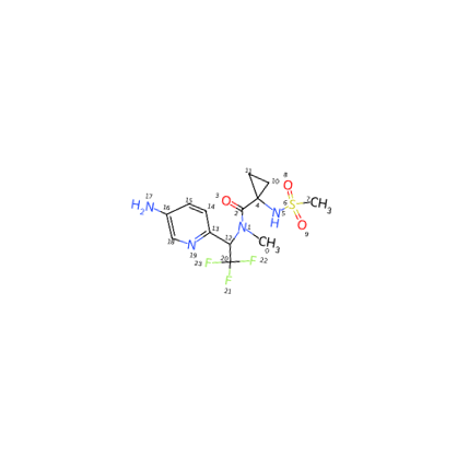 CN(C(=O)C1(NS(C)(=O)=O)CC1)C(c1ccc(N)cn1)C(F)(F)F